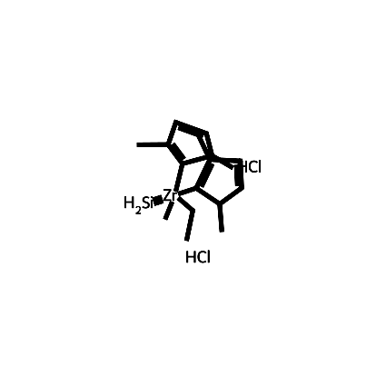 C[CH2][Zr]([CH3])(=[SiH2])([C]1=C(C)C=CC1C)[C]1=C(C)C=CC1C.Cl.Cl